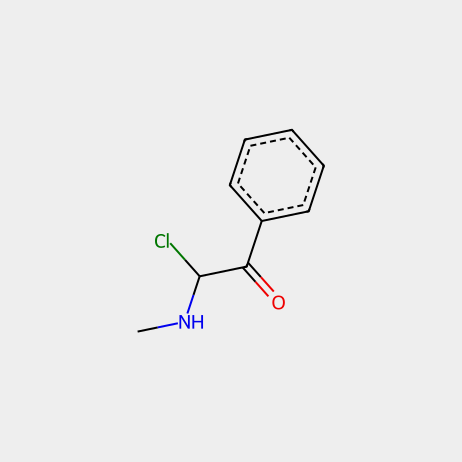 CNC(Cl)C(=O)c1ccccc1